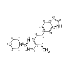 C=Cc1cnc(N2CCOCC2)nc1CCc1ccc2cc[nH]c2c1